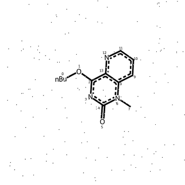 CCCCOc1nc(=O)n(C)c2cccnc12